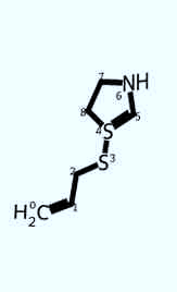 C=CCSS1=CNCC1